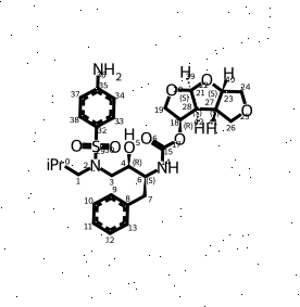 CC(C)CN(C[C@@H](O)[C@H](Cc1ccccc1)NC(=O)O[C@H]1CO[C@H]2O[C@@H]3COC[C@@H]3[C@H]21)S(=O)(=O)c1ccc(N)cc1